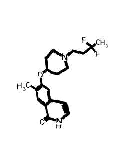 Cc1cc2c(=O)[nH]ccc2cc1OC1CCN(CCC(C)(F)F)CC1